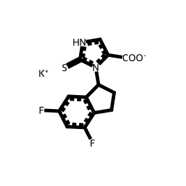 O=C([O-])c1c[nH]c(=S)n1C1CCc2c(F)cc(F)cc21.[K+]